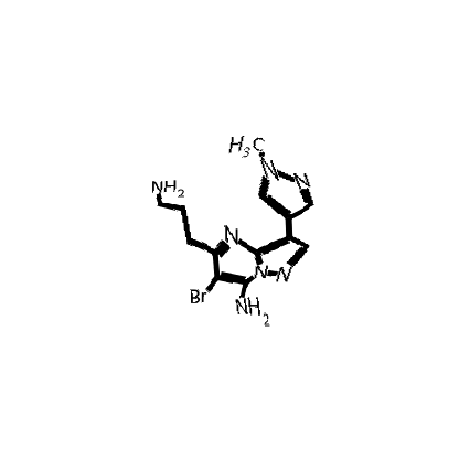 Cn1cc(-c2cnn3c(N)c(Br)c(CCCN)nc23)cn1